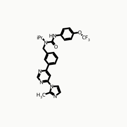 Cc1nccn1-c1cc(-c2cccc(CN(C(=O)Nc3ccc(OC(F)(F)F)cc3)C(C)C)c2)ncn1